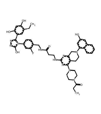 CCC(=O)N1CCN(c2nc(NCCC(=O)NCc3ccc(-n4c(O)nnc4-c4cc(CC)c(O)cc4O)cc3F)nc3c2CCN(c2cc(O)cc4ccccc24)C3)CC1